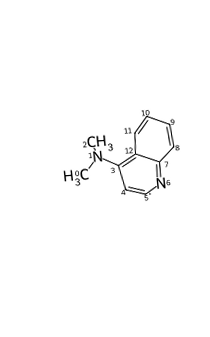 CN(C)c1c[c]nc2ccccc12